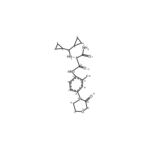 NC(=O)[C@@H](NC(C1CC1)C1CC1)C(=O)Nc1ccc(N2CCOCC2=O)cc1F